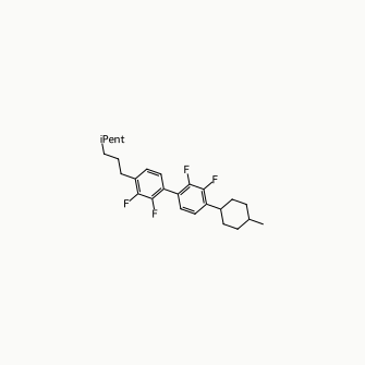 CCCC(C)CCCc1ccc(-c2ccc(C3CCC(C)CC3)c(F)c2F)c(F)c1F